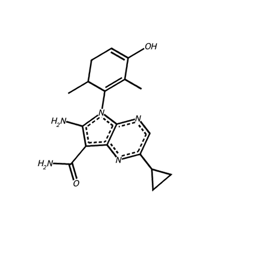 CC1=C(n2c(N)c(C(N)=O)c3nc(C4CC4)cnc32)C(C)CC=C1O